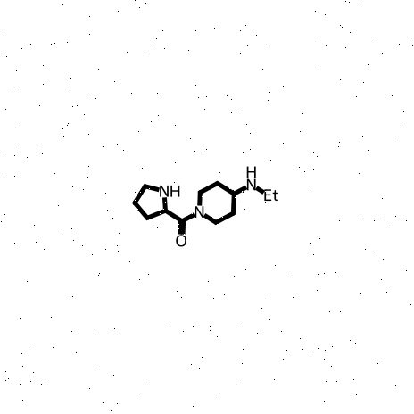 CCNC1CCN(C(=O)C2CCCN2)CC1